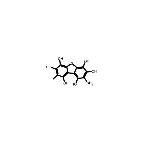 Cc1c(O)c(O)c2sc3c(O)c(O)c(N)c(O)c3c2c1O